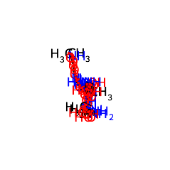 CCC(C)NC(=O)CCOCCOCCOCCOCCn1cc(COCCOCCOCCOCCOC(=O)N(CCOCCN(C)C(=O)O[C@@H]([C@@H]2OC(C(=O)O)=C[C@H](NC(=N)N)[C@H]2NC)[C@H](O)CO)CCOCCN(C)C(=O)O[C@@H]([C@@H]2OC(C(=O)O)=C[C@H](NC(=N)N)[C@H]2N2CC2)[C@H](O)CO)nn1